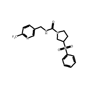 O=C(NCc1ccc(C(F)(F)F)nc1)N1CCC(S(=O)(=O)c2ccccc2)C1